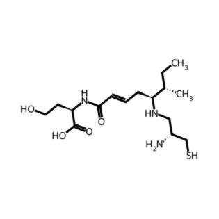 CC[C@H](C)[C@H](C/C=C/C(=O)N[C@H](CCO)C(=O)O)NC[C@@H](N)CS